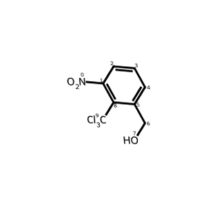 O=[N+]([O-])c1cccc(CO)c1C(Cl)(Cl)Cl